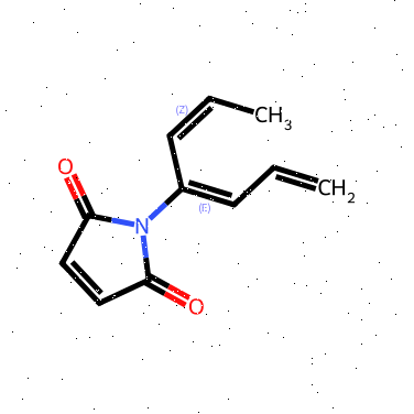 C=C/C=C(\C=C/C)N1C(=O)C=CC1=O